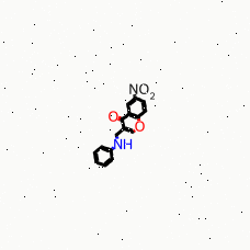 O=c1c(CNc2ccccc2)coc2ccc([N+](=O)[O-])cc12